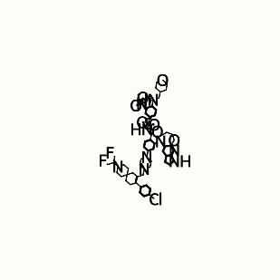 O=C(NS(=O)(=O)c1ccc(NCC2CCOCC2)c([N+](=O)[O-])c1)c1ccc(N2CCN(CC3=C(c4ccc(Cl)cc4)CCC4(CCN(C(CF)CF)CC4)C3)CC2)cc1N1CCCOc2nc3[nH]ccc3cc21